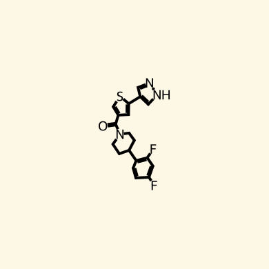 O=C(c1csc(-c2cn[nH]c2)c1)N1CCC(c2ccc(F)cc2F)CC1